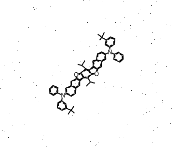 CC(C)c1c2oc3cc4cc(N(c5ccccc5)c5cccc(C(C)(C)C)c5)ccc4cc3c2c(C(C)C)c2oc3cc4cc(N(c5ccccc5)c5cccc(C(C)(C)C)c5)ccc4cc3c12